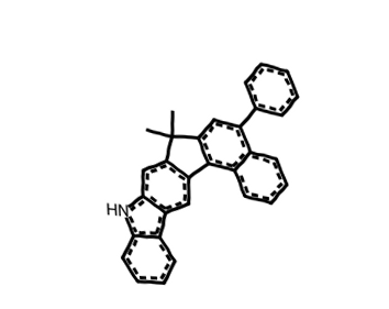 CC1(C)c2cc3[nH]c4ccccc4c3cc2-c2c1cc(-c1ccccc1)c1ccccc21